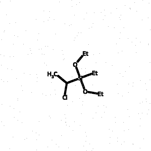 CCO[Si](CC)(OCC)C(C)Cl